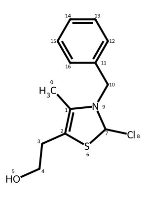 CC1=C(CCO)SC(Cl)N1Cc1ccccc1